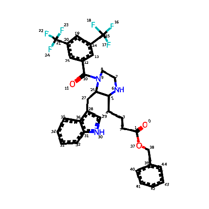 O=C(CCCC1NCCN(C(=O)c2cc(C(F)(F)F)cc(C(F)(F)F)c2)C1Cc1c[nH]c2ccccc12)OCc1ccccc1